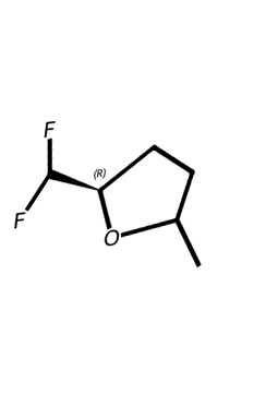 CC1CC[C@H](C(F)F)O1